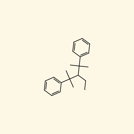 [CH2]CC(C(C)(C)c1ccccc1)C(C)(C)c1ccccc1